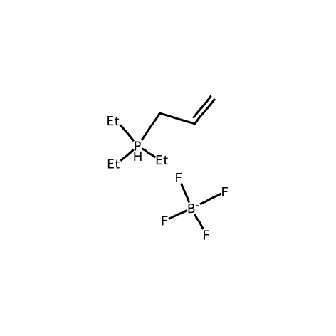 C=CC[PH](CC)(CC)CC.F[B-](F)(F)F